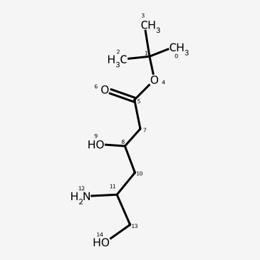 CC(C)(C)OC(=O)CC(O)CC(N)CO